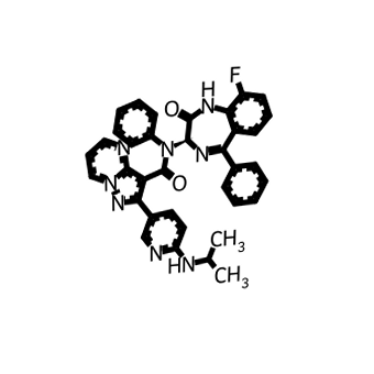 CC(C)Nc1ccc(-c2nn3cccnc3c2C(=O)N(c2ccccc2)[C@@H]2N=C(c3ccccc3)c3cccc(F)c3NC2=O)cn1